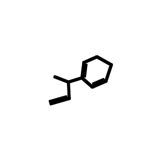 C=CC(C)C1=CCCC=C1